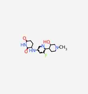 CN1CCC(c2ncc(NC3CCC(=O)NC3=O)cc2F)C(O)C1